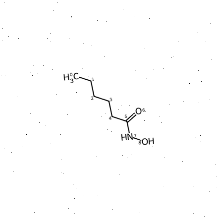 CCCCCC(=O)NO